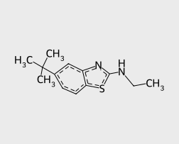 CCNc1nc2cc(C(C)(C)C)ccc2s1